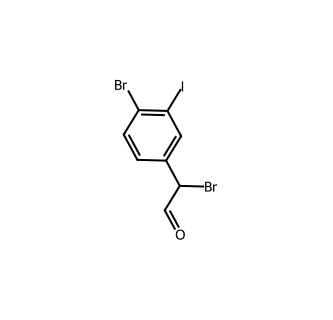 O=CC(Br)c1ccc(Br)c(I)c1